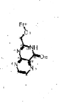 CCOCc1nc2nccnc2c(=O)[nH]1